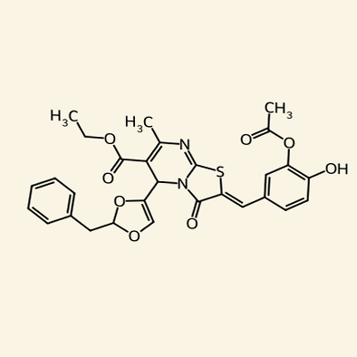 CCOC(=O)C1=C(C)N=c2sc(=Cc3ccc(O)c(OC(C)=O)c3)c(=O)n2C1C1=COC(Cc2ccccc2)O1